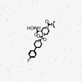 CN(C)C(=O)N1CCN(S(=O)(=O)N2CCC(c3ccc(F)cc3)CC2)[C@@H](C(=O)NO)C1